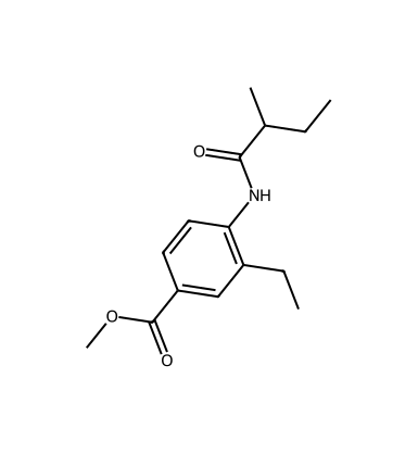 CCc1cc(C(=O)OC)ccc1NC(=O)C(C)CC